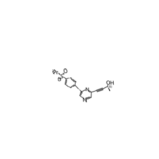 CC(C)S(=O)(=O)c1ccc(-c2cncc(C#C[C@H](C)O)n2)cc1